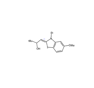 CCN1/C(=C/C(O)C(C)(C)C)Sc2ccc(OC)cc21